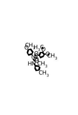 COc1ccc(N(CC(=O)Nc2ccc(C)cc2C)S(=O)(=O)c2ccc(OC)c(OC)c2)cc1